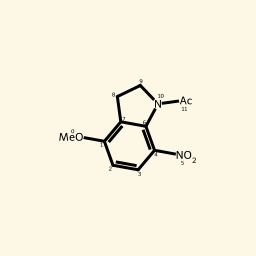 COc1ccc([N+](=O)[O-])c2c1CCN2C(C)=O